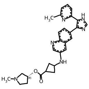 Cc1cccc(-c2[nH]cnc2-c2ccc3ncc(NC4CC(C(=O)O[C@@H]5CCN(C)C5)C4)cc3c2)n1